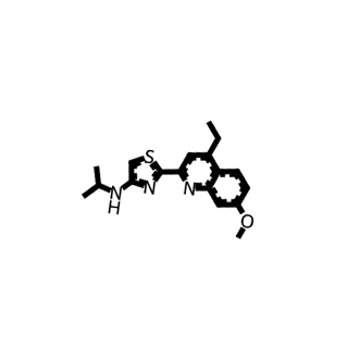 CCc1cc(-c2nc(NC(C)C)cs2)nc2cc(OC)ccc12